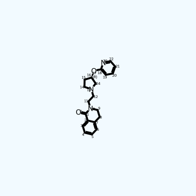 O=C1c2ccccc2CCN1CCN1CC[C@@H](Oc2ccccn2)C1